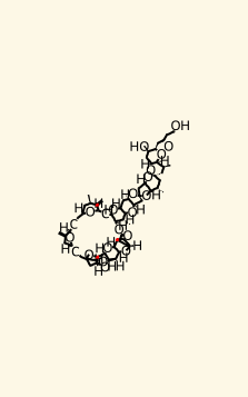 C=C1C[C@@H]2CCC34C[C@H]5O[C@H]6[C@@H](O3)[C@H]3O[C@@H](CC[C@@H]3O[C@H]6[C@@H]5O4)CC(=O)O[C@@H]3[C@@H](C)[C@@H]4O[C@@H]5C[C@]6(C[C@@H]7O[C@]8(C[C@H](C)[C@@H]9O[C@H](CC(=O)CCO)[C@H](O)C[C@@H]9O8)C[C@H](C)[C@@H]7O6)O[C@@H]5C[C@@H]4O[C@H]3C[C@H]3O[C@@H](CC[C@@H]1O2)C[C@@H](C)C3=C